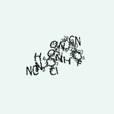 N#CNCc1cc2c(cc1Cl)NCC(C(=O)N1CCC(C#N)(Cc3ccc(F)cc3)CC1)O2